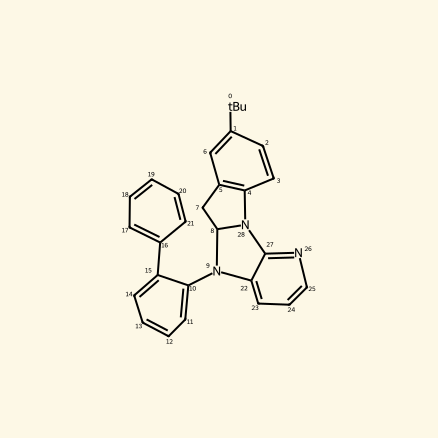 CC(C)(C)c1ccc2c(c1)CC1N(c3ccccc3-c3ccccc3)c3cccnc3N21